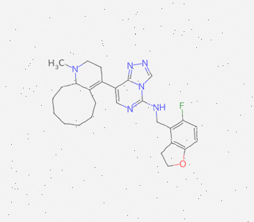 CN1CCC(c2cnc(NCc3c(F)ccc4c3CCO4)n3cnnc23)=C2CCCCCCCC21